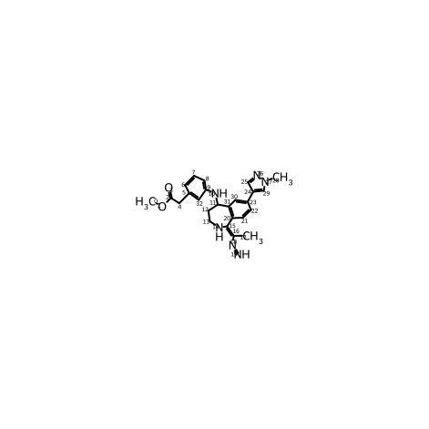 COC(=O)Cc1cccc(NC2CCN/C(=C(/C)N=N)c3ccc(-c4cnn(C)c4)cc32)c1